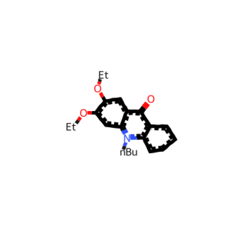 CCCCn1c2ccccc2c(=O)c2cc(OCC)c(OCC)cc21